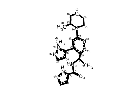 CC(NC(=O)c1ccn[nH]1)c1nnc(N2CCOCC2C)cc1-c1ccnn1C